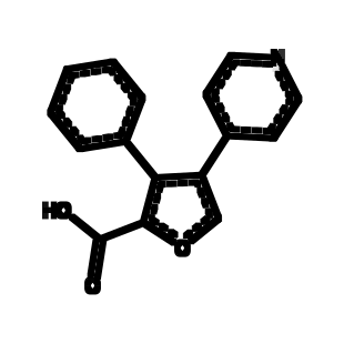 O=C(O)c1occ(-c2ccncc2)c1-c1ccccc1